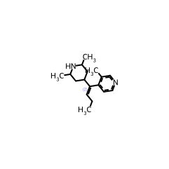 CC/C=C(\c1ccncc1C)C1CC(C)NC(C)C1